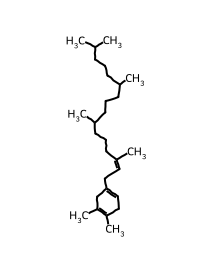 CC(=CCC1=CCC(C)=C(C)C1)CCCC(C)CCCC(C)CCCC(C)C